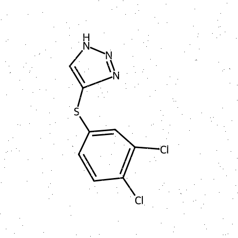 Clc1ccc(Sc2c[nH]nn2)cc1Cl